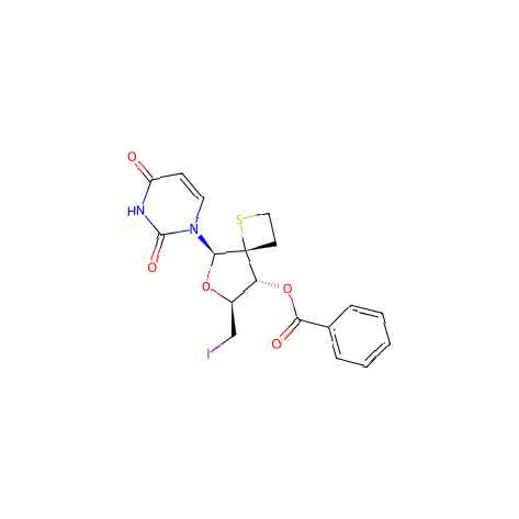 O=C(O[C@@H]1[C@@H](CI)O[C@@H](n2ccc(=O)[nH]c2=O)[C@@]12CCS2)c1ccccc1